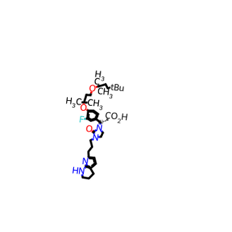 CC(C)(C)CCC(C)(C)OCCC(C)(C)Oc1ccc([C@H](CC(=O)O)N2CCN(CCCc3ccc4c(n3)NCCC4)C2=O)cc1F